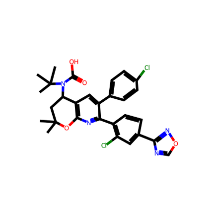 CC1(C)CC(N(C(=O)O)C(C)(C)C)c2cc(-c3ccc(Cl)cc3)c(-c3ccc(-c4ncon4)cc3Cl)nc2O1